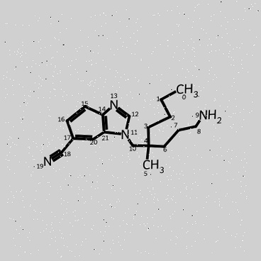 CCCCC(C)(CCCN)Cn1cnc2ccc(C#N)cc21